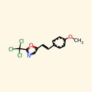 COc1ccc(C=Cc2cnc(C(Cl)(Cl)Cl)o2)cc1